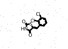 O=C1NC(=O)C(=Cc2cccc(Cl)c2Cl)S1